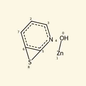 [OH][Zn].c1cnc2c(c1)S2